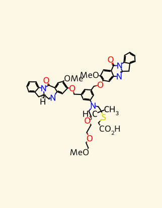 COCCOCCOCCN(CC(C)(C)SCC(=O)O)c1cc(COc2cc3c(cc2OC)C(=O)N2c4ccccc4C[C@H]2C=N3)cc(COc2cc3nc4n(c(=O)c3cc2OC)-c2ccccc2C4)c1